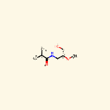 CO[C@@H](CO)CNC(=O)C(C)C